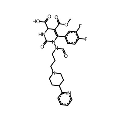 COC(=O)C1=C(c2ccc(F)c(F)c2)N(N(C=O)CCCN2CCC(c3ccccn3)CC2)C(=O)NC1C(=O)O